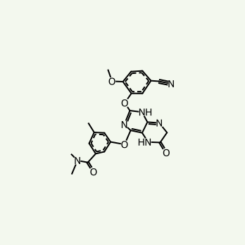 COc1ccc(C#N)cc1OC1=NC(Oc2cc(C)cc(C(=O)N(C)C)c2)=C2NC(=O)CN=C2N1